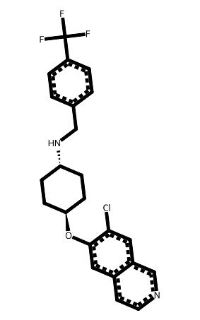 FC(F)(F)c1ccc(CN[C@H]2CC[C@H](Oc3cc4ccncc4cc3Cl)CC2)cc1